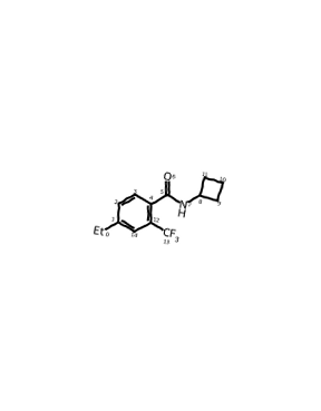 CCc1ccc(C(=O)NC2CCC2)c(C(F)(F)F)c1